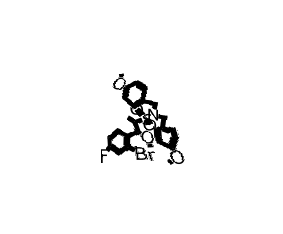 COc1ccc(CN(Cc2ccc(OC)cc2)S(=O)(=O)C(C)C(OC)c2ccc(F)cc2Br)cc1